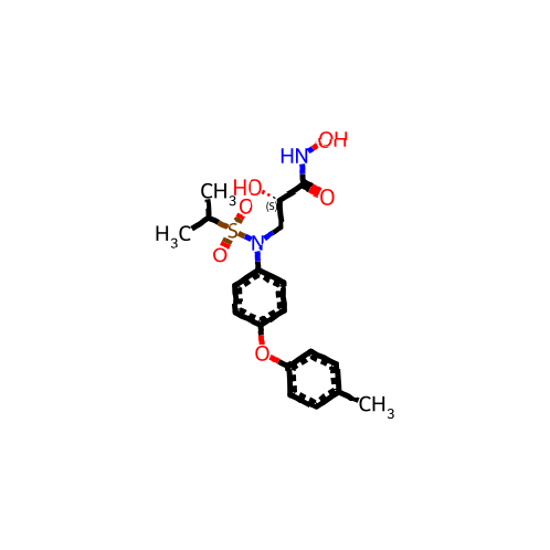 Cc1ccc(Oc2ccc(N(C[C@H](O)C(=O)NO)S(=O)(=O)C(C)C)cc2)cc1